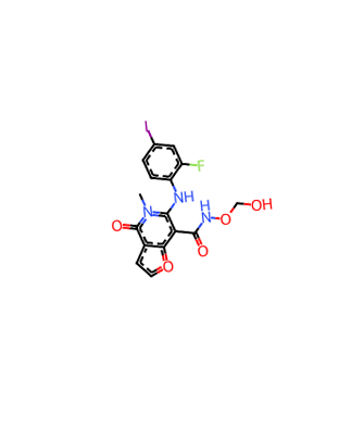 Cn1c(Nc2ccc(I)cc2F)c(C(=O)NOCO)c2occc2c1=O